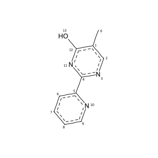 Cc1cnc(-c2ccccn2)nc1O